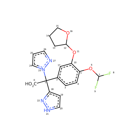 O=C(O)C(c1ccc(OC(F)F)c(OC2CCCO2)c1)(c1cc[nH]n1)n1cccn1